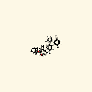 CCCCOC(=O)C1C2CCC1CN(C(=O)Nc1cnc3ccc(N4CCC[C@@H]4c4cc(F)ccc4F)nn13)C2